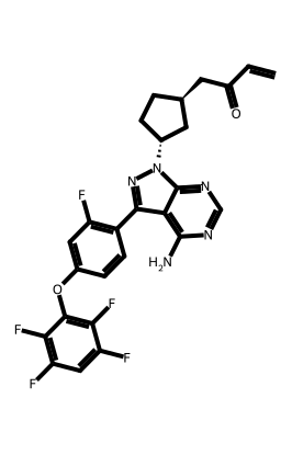 C=CC(=O)C[C@@H]1CC[C@@H](n2nc(-c3ccc(Oc4c(F)c(F)cc(F)c4F)cc3F)c3c(N)ncnc32)C1